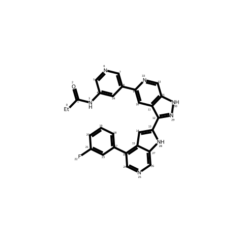 CCC(=O)Nc1cncc(-c2cc3c(-c4cc5c(-c6cccc(F)c6)cncc5[nH]4)n[nH]c3cn2)c1